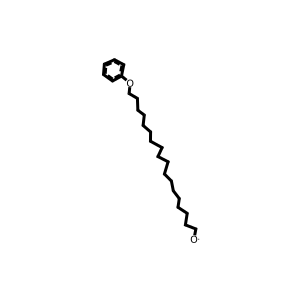 [O]CCCCCCCCCCCCCCCCCCOc1ccccc1